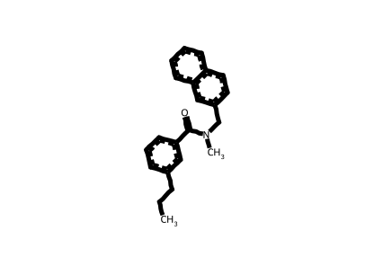 CCCc1cccc(C(=O)N(C)Cc2ccc3ccccc3c2)c1